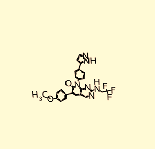 COc1ccc(-c2cc3cnc(NCC(F)(F)F)nc3n(-c3ccc(-c4ccn[nH]4)cc3)c2=O)cc1